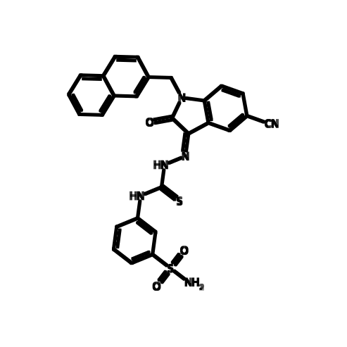 N#Cc1ccc2c(c1)C(=NNC(=S)Nc1cccc(S(N)(=O)=O)c1)C(=O)N2Cc1ccc2ccccc2c1